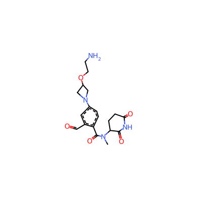 CN(C(=O)c1ccc(N2CC(OCCN)C2)cc1C=O)C1CCC(=O)NC1=O